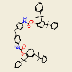 CC(C)(c1ccccc1)c1ccc(OC(=O)Nc2ccc(Cc3ccc(NC(=O)Oc4ccc(C(C)(C)c5ccccc5)cc4C(C)(C)c4ccccc4)cc3)cc2)c(C(C)(C)c2ccccc2)c1